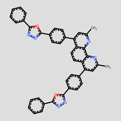 Cc1cc(-c2ccc(-c3nnc(-c4ccccc4)o3)cc2)c2ccc3c(-c4ccc(-c5nnc(-c6ccccc6)o5)cc4)cc(C)nc3c2n1